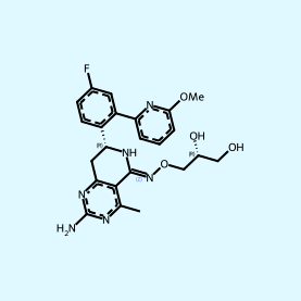 COc1cccc(-c2cc(F)ccc2[C@H]2Cc3nc(N)nc(C)c3/C(=N/OC[C@H](O)CO)N2)n1